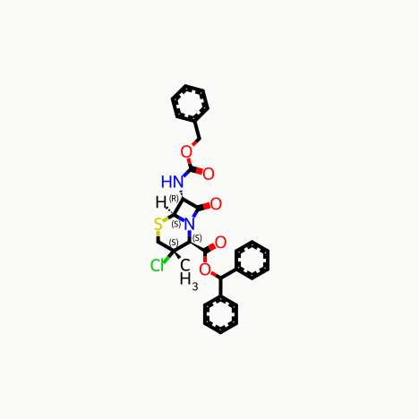 C[C@@]1(Cl)CS[C@H]2[C@H](NC(=O)OCc3ccccc3)C(=O)N2[C@H]1C(=O)OC(c1ccccc1)c1ccccc1